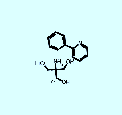 NC(CO)(CO)CO.[Ir].c1ccc(-c2ccccn2)cc1